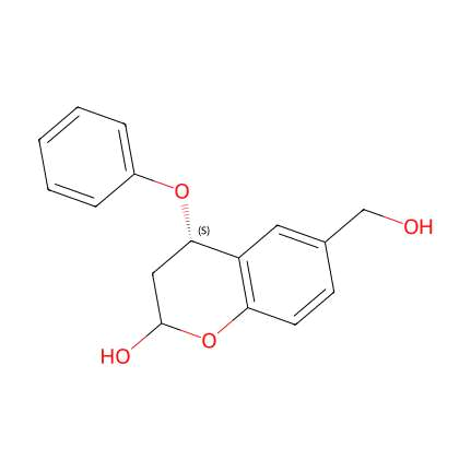 OCc1ccc2c(c1)[C@@H](Oc1ccccc1)CC(O)O2